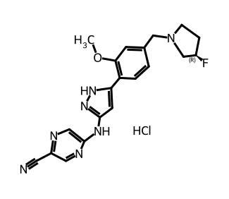 COc1cc(CN2CC[C@@H](F)C2)ccc1-c1cc(Nc2cnc(C#N)cn2)n[nH]1.Cl